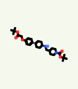 CC(C)(C)OC(=O)COc1ccc([C@H]2CC[C@H](NCC3CCN(C(=O)OC(C)(C)C)CC3)CC2)cc1